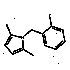 [CH2]c1ccccc1Cn1c(C)ccc1C